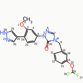 COc1cc(-n2ncn(Cc3cccc(OC(F)F)c3)c2=O)ccc1-c1cn[nH]c1